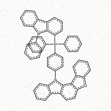 c1ccc(-n2c3ccccc3c3cccc([Si](c4ccccc4)(c4ccccc4)c4ccc(-n5c6ccccc6c6ccc7oc8ccccc8c7c65)cc4)c32)cc1